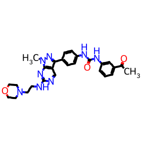 CC(=O)c1cccc(NC(=O)Nc2ccc(-c3nn(C)c4nc(NCCN5CCOCC5)ncc34)cc2)c1